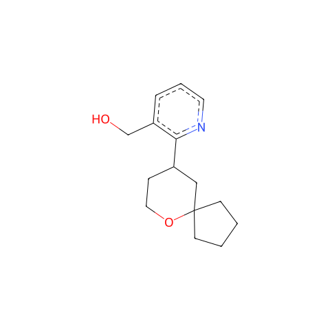 OCc1cccnc1C1CCOC2(CCCC2)C1